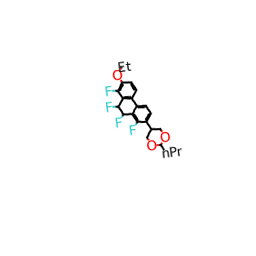 CCCC1OCC(c2ccc3c(c2F)C(F)C(F)c2c-3ccc(OCC)c2F)CO1